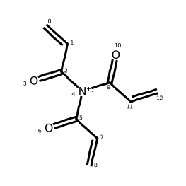 C=CC(=O)[N+](C(=O)C=C)C(=O)C=C